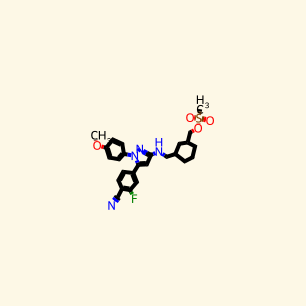 COc1ccc(-n2nc(NCC3CCCC(COS(C)(=O)=O)C3)cc2-c2ccc(C#N)c(F)c2)cc1